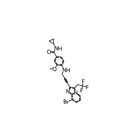 COc1cc(C(=O)NC2CC2)ccc1NCC#Cc1nc2c(Br)cccn2c1CC(F)(F)F